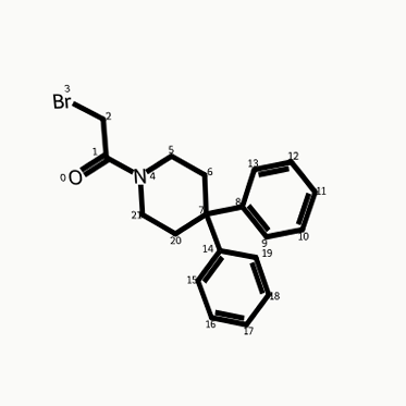 O=C(CBr)N1CCC(c2ccccc2)(c2ccccc2)CC1